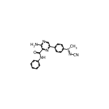 C/S(=N\C#N)c1ccc(-c2cnc(N)c(C(=O)Nc3ccccc3)n2)cc1